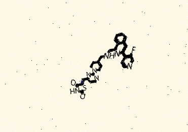 O=C1NC(=O)/C(=C/c2ccnc(N3CCC(CNCc4nc(-c5ccncc5F)cc5ccccc45)CC3)n2)S1